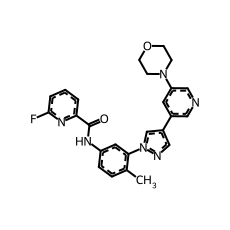 Cc1ccc(NC(=O)c2cccc(F)n2)cc1-n1cc(-c2cncc(N3CCOCC3)c2)cn1